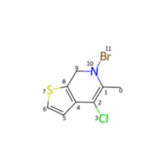 CC1=C(Cl)c2ccsc2CN1Br